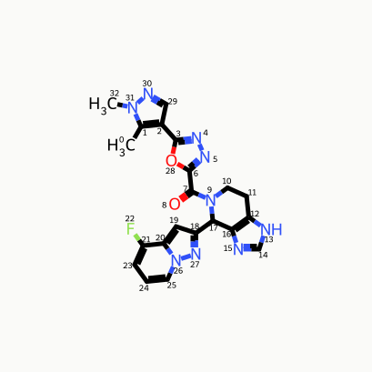 Cc1c(-c2nnc(C(=O)N3CCc4[nH]cnc4C3c3cc4c(F)cccn4n3)o2)cnn1C